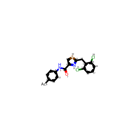 CC(=O)c1ccc(NC(=O)c2csc(Cc3c(Cl)cccc3Cl)n2)cc1